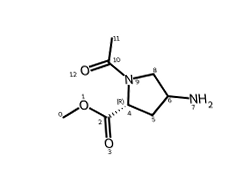 COC(=O)[C@H]1CC(N)CN1C(C)=O